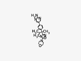 CC(C)C(C)(c1ccc(-c2cnc(N)nc2)cc1)c1noc(N2CCOCC2)n1